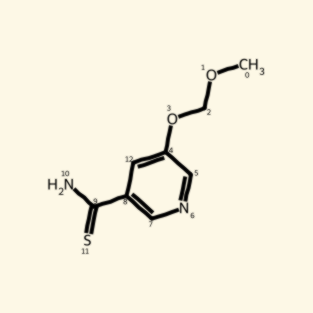 COCOc1cncc(C(N)=S)c1